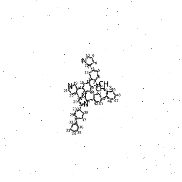 CC1(C)c2ccc(-c3cccnc3)cc2-c2cc(-c3cnccc3-c3cc(-c4ccc(-c5ccccc5)cc4)nc(-c4ccc(-c5ccccc5)cc4)n3)ccc21